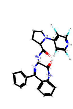 O=C(N[C@H]1N=C(c2ccccc2)c2ccccc2NC1=O)C1CCCN1c1c(F)c(F)nc(F)c1F